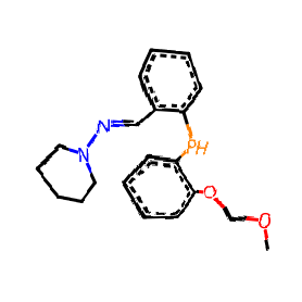 COCOc1ccccc1Pc1ccccc1/C=N/N1CCCCC1